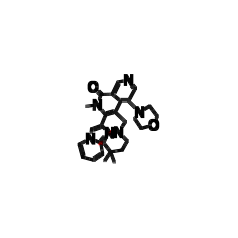 Cn1c(-c2cn3ccccc3n2)c(CN2CCC(C)(C)CC2)c2c(N3CCOCC3)cncc2c1=O